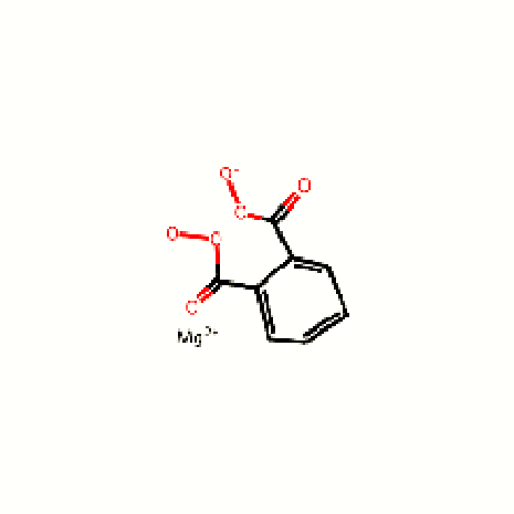 O=C(O[O-])c1ccccc1C(=O)O[O-].[Mg+2]